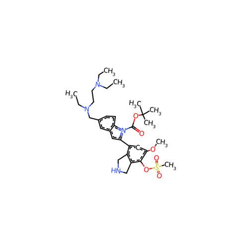 CCN(CC)CCN(CC)Cc1ccc2c(c1)cc(-c1cc(OC)c(OS(C)(=O)=O)c3c1CNC3)n2C(=O)OC(C)(C)C